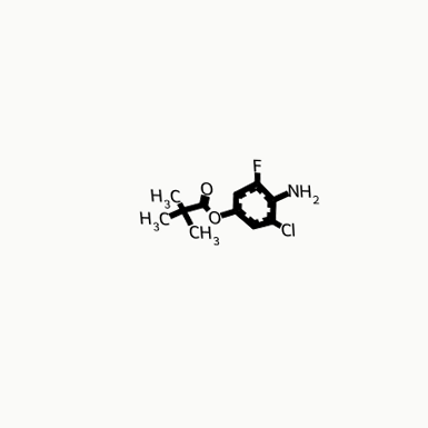 CC(C)(C)C(=O)Oc1cc(F)c(N)c(Cl)c1